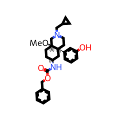 CO[C@]12CC[C@@H](NC(=O)OCc3ccccc3)C[C@]1(c1cccc(O)c1)CCN(CC1CC1)C2